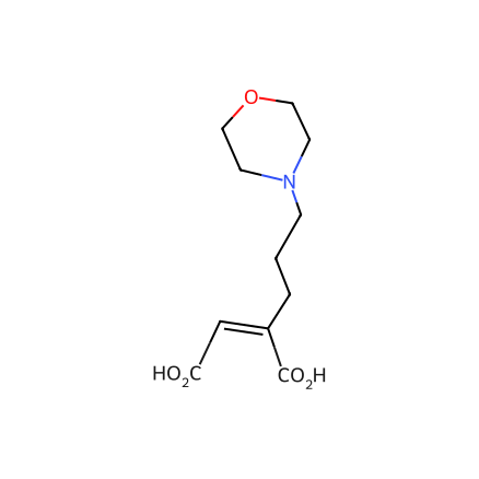 O=C(O)C=C(CCCN1CCOCC1)C(=O)O